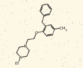 CCN1CCN(CCOc2ccc(C)cc2Cc2ccccc2)CC1